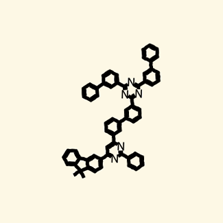 CC1(C)c2ccccc2-c2cc(-c3cc(-c4cccc(-c5cccc(-c6nc(-c7cccc(-c8ccccc8)c7)nc(-c7cccc(-c8ccccc8)c7)n6)c5)c4)nc(-c4ccccc4)n3)ccc21